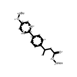 CCCCCCOC(=O)CC(C)c1ccc(-c2ncc(OCCCC)cn2)cc1